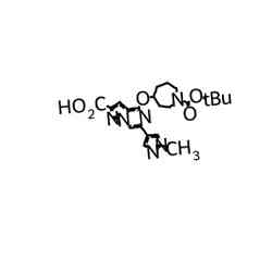 Cn1cc(-c2cn3nc(C(=O)O)cc3c(OC3CCCN(C(=O)OC(C)(C)C)CC3)n2)cn1